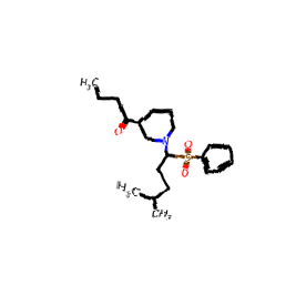 CCCC(=O)C1CCCN(C(CCC(C)C)S(=O)(=O)c2ccccc2)C1